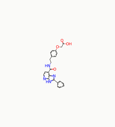 O=C(O)COc1ccc(CCNC(=O)c2ccnc3[nH]c(-c4ccccc4)nc23)cc1